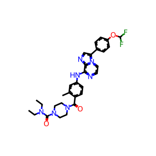 CCN(CC)C(=O)N1CCN(C(=O)c2ccc(Nc3nccn4c(-c5ccc(OC(F)F)cc5)cnc34)cc2C)CC1